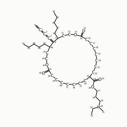 C=C=C=C=C1C(CCCCC)CCOC(=O)CCCCCCCC(C(=O)OCCCN(C)CC)CCCCCCCC(=O)OCCC1CCCCC